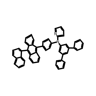 c1ccc(-c2cc(-c3ccccc3)cc(N(c3ccc(-c4c5ccccc5c(-c5cccc6ccccc56)c5ccccc45)cc3)c3ccccn3)c2)cc1